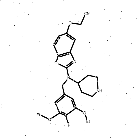 CCOc1cc(CN(c2nc3cc(OCC#N)ccc3o2)C2CCNCC2)cc(OCC)c1F